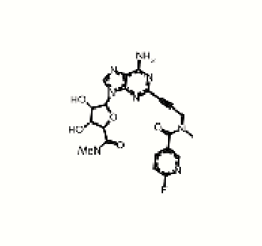 CNC(=O)C1OC(n2cnc3c(N)nc(C#CCN(C)C(=O)c4ccc(F)nc4)nc32)[C@H](O)[C@@H]1O